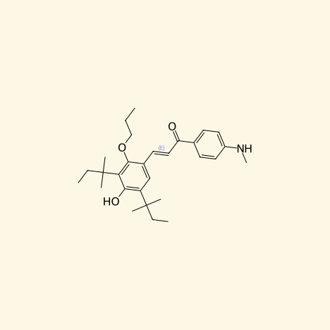 CCCOc1c(/C=C/C(=O)c2ccc(NC)cc2)cc(C(C)(C)CC)c(O)c1C(C)(C)CC